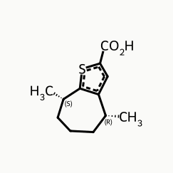 C[C@@H]1CCC[C@H](C)c2sc(C(=O)O)cc21